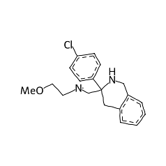 COCC[N]CC1(c2ccc(Cl)cc2)Cc2ccccc2CN1